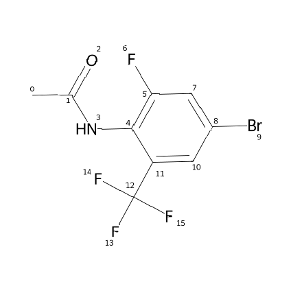 CC(=O)Nc1c(F)cc(Br)cc1C(F)(F)F